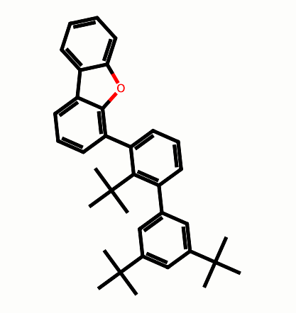 CC(C)(C)c1cc(-c2cccc(-c3cccc4c3oc3ccccc34)c2C(C)(C)C)cc(C(C)(C)C)c1